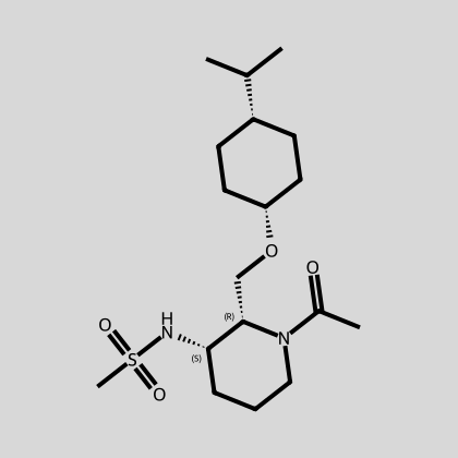 CC(=O)N1CCC[C@H](NS(C)(=O)=O)[C@@H]1CO[C@H]1CC[C@@H](C(C)C)CC1